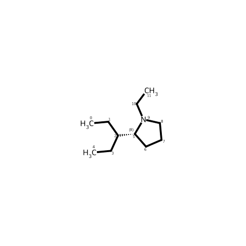 CCC(CC)[C@H]1CCCN1CC